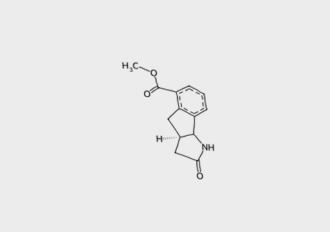 COC(=O)c1cccc2c1C[C@@H]1CC(=O)NC21